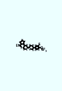 CCC(C[C@H]1CC[C@H]([C@H]2CC[C@H](c3ccc(OC(F)(F)F)c(F)c3)CC2)CC1)C1CCCC1